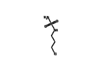 NS(=O)(=O)NCCCCl